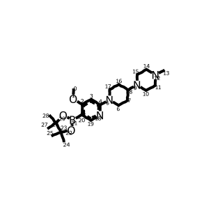 COc1cc(N2CCC(N3CCN(C)CC3)CC2)ncc1B1OC(C)(C)C(C)(C)O1